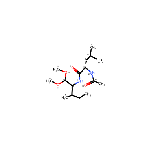 CCC(C)C(NC(=O)[C@H](CC(C)C)NC(C)=O)C(OC)OC